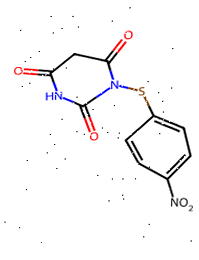 O=C1CC(=O)N(Sc2ccc([N+](=O)[O-])cc2)C(=O)N1